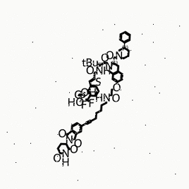 CC(C)(C)[C@H](NC(=O)c1cc2cc(C(F)(F)P(=O)(O)O)ccc2s1)C(=O)N1Cc2cc(OCC(=O)NCCCCCC#Cc3ccc4c(c3)C(=O)N(C3CCC(=O)NC3=O)C4=O)ccc2C[C@H]1C(=O)N1CCC[C@H](c2ccccc2)C1